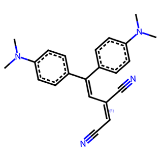 CN(C)c1ccc(C(=C/C(C#N)=C\C#N)c2ccc(N(C)C)cc2)cc1